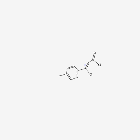 Cc1ccc(/C(Cl)=C/C(=O)Cl)cc1